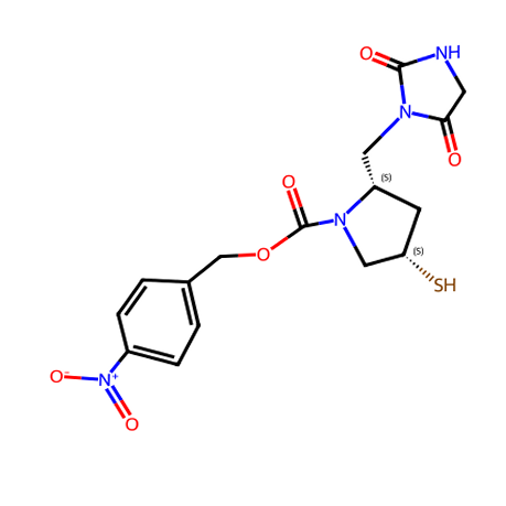 O=C1CNC(=O)N1C[C@@H]1C[C@H](S)CN1C(=O)OCc1ccc([N+](=O)[O-])cc1